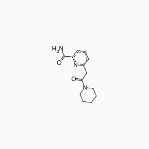 NC(=O)c1cccc(CC(=O)N2CCCCC2)n1